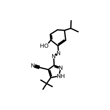 CC(C)C1C=C(/N=N/c2n[nH]c(C(C)(C)C)c2C#N)C(O)=CC1